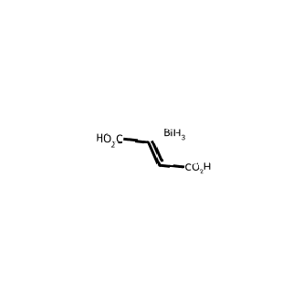 O=C(O)C=CC(=O)O.[BiH3]